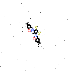 CSc1cc(SC)c(N2COc3cc4c(cc3C2)C4(C)C)c(C)c1N1COc2cc3c(cc2C1)C3(C)C